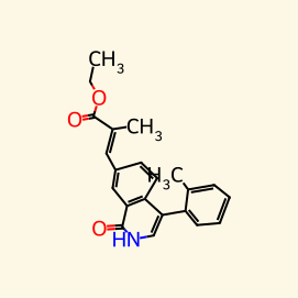 CCOC(=O)/C(C)=C/c1ccc2c(-c3ccccc3C)c[nH]c(=O)c2c1